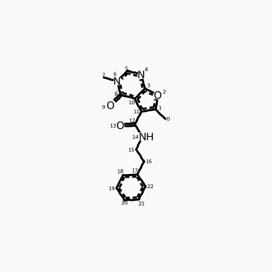 Cc1oc2ncn(C)c(=O)c2c1C(=O)NCCc1ccccc1